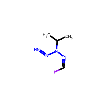 CC(C)N(N=N)/N=C\I